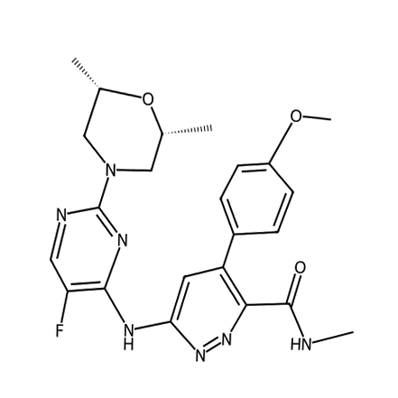 CNC(=O)c1nnc(Nc2nc(N3C[C@@H](C)O[C@@H](C)C3)ncc2F)cc1-c1ccc(OC)cc1